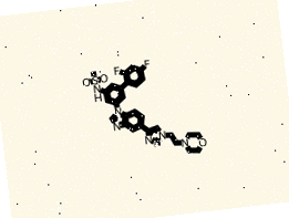 CS(=O)(=O)Nc1cc(-c2ccc(F)cc2F)cc(-n2cnc3cc(-c4cn(CCN5CCOCC5)nn4)ccc32)c1